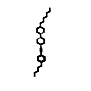 CCCCCCC[C@H]1CC[C@H]([C@H]2CC[C@H](C#Cc3ccc(CCCCC)cc3)CC2)CC1